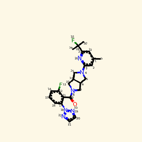 Cc1cc(N2CC3CN(C(=O)c4c(F)cccc4-n4nccn4)CC3C2)nc(C(C)(C)F)c1